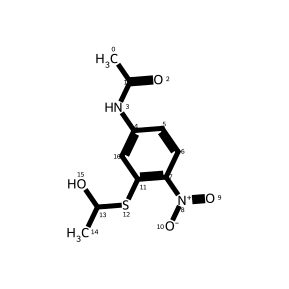 CC(=O)Nc1ccc([N+](=O)[O-])c(SC(C)O)c1